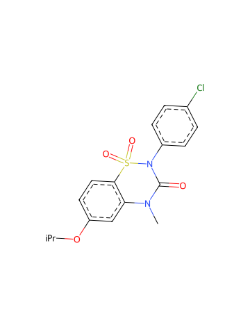 CC(C)Oc1ccc2c(c1)N(C)C(=O)N(c1ccc(Cl)cc1)S2(=O)=O